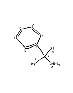 CCC([SiH3])(CC)c1ccccc1